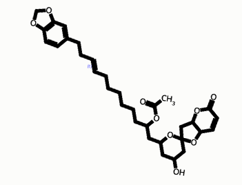 CC(=O)OC(CCCCCC/C=C/CCc1ccc2c(c1)OCO2)CC1CC(O)CC2(CC3OC(=O)C=CC3O2)O1